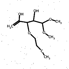 C=C(O)C(OCCCC)C(O)C(OC)OC